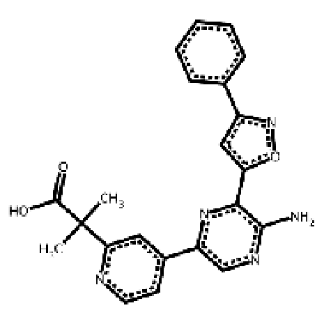 CC(C)(C(=O)O)c1cc(-c2cnc(N)c(-c3cc(-c4ccccc4)no3)n2)ccn1